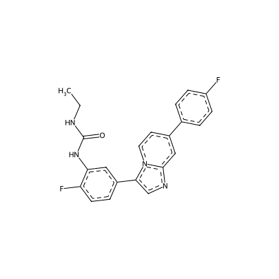 CCNC(=O)Nc1cc(-c2cnc3cc(-c4ccc(F)cc4)ccn23)ccc1F